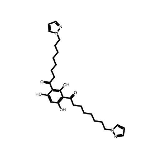 O=C(CCCCCCCn1cccn1)c1c(O)cc(O)c(C(=O)CCCCCCCn2cccn2)c1O